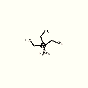 CCCCCCCC/C=C\CCCCCCCC(=O)O[C@@H]1O[C@H](COC(=O)CCCN(C)C)[C@@H](OC(=O)CCCCCCC/C=C\CCCCCCCC)[C@H]1OC(=O)CCCCCCC/C=C\CCCCCCCC